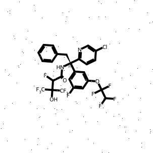 O=C(N[C@@](Cc1ccccc1)(c1cc(F)cc(OC(F)(F)C(F)F)c1)c1ccc(Cl)cn1)C(F)C(O)(C(F)(F)F)C(F)(F)F